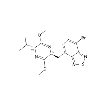 COC1=N[C@H](C(C)C)C(OC)=N[C@H]1Cc1ccc(Br)c2nsnc12